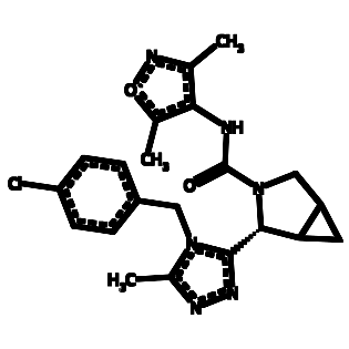 Cc1noc(C)c1NC(=O)N1CC2CC2[C@@H]1c1nnc(C)n1Cc1ccc(Cl)cc1